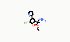 CCOC(=O)C(C)(CN)c1cccc(-c2ccccn2)c1.Cl